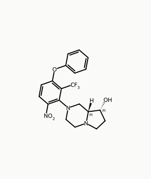 O=[N+]([O-])c1ccc(Oc2ccccc2)c(C(F)(F)F)c1N1CCN2CC[C@@H](O)[C@H]2C1